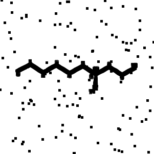 CCCCCC[C@H](F)CCC